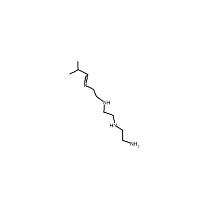 CC(C)C=NCCNCCNCCN